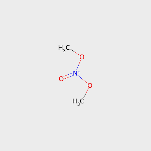 CO[N+](=O)OC